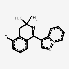 CC1(C)Cc2c(F)cccc2C(c2cnn3ccccc23)=N1